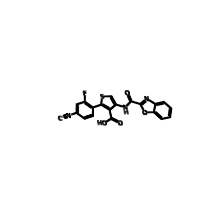 [C-]#[N+]c1ccc(-c2scc(NC(=O)c3nc4ccccc4o3)c2C(=O)O)c(F)c1